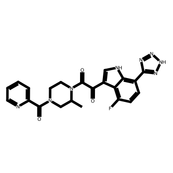 CC1CN(C(=O)c2ccccn2)CCN1C(=O)C(=O)c1c[nH]c2c(-c3nn[nH]n3)ccc(F)c12